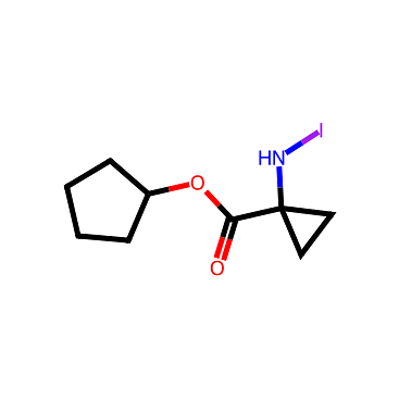 O=C(OC1CCCC1)C1(NI)CC1